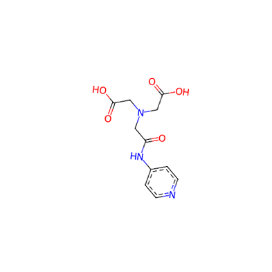 O=C(O)CN(CC(=O)O)CC(=O)Nc1ccncc1